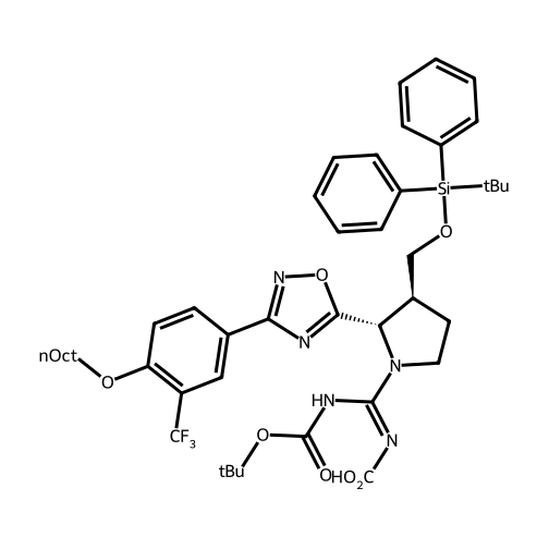 CCCCCCCCOc1ccc(-c2noc([C@@H]3[C@@H](CO[Si](c4ccccc4)(c4ccccc4)C(C)(C)C)CCN3/C(=N/C(=O)O)NC(=O)OC(C)(C)C)n2)cc1C(F)(F)F